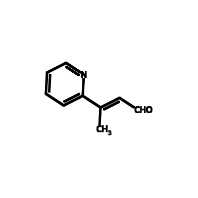 CC(=CC=O)c1ccccn1